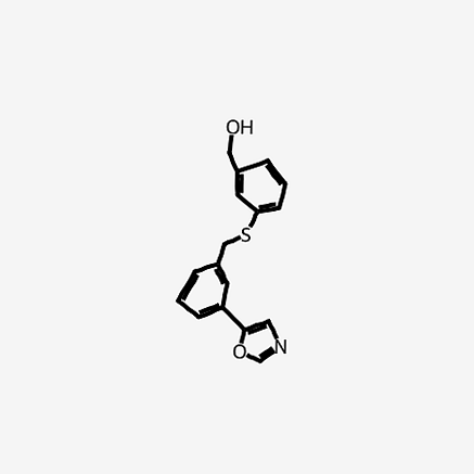 OCc1cccc(SCc2cccc(-c3cnco3)c2)c1